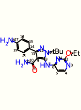 CCOc1nccc(Nc2c(C(N)=O)c(-c3ccc(N)cc3)nn2C(C)(C)C)n1